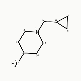 FC(F)(F)C1CCN(CC2CC2)CC1